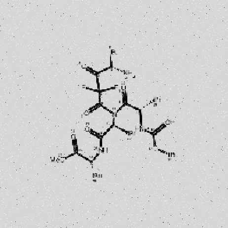 CC[C@H](C)[C@H](N)C(=O)C(F)(F)C(=O)N(C(=O)[C@@H](NC(=O)OC(C)(C)C)C(C)C)[C@H](C(=O)N[C@H](C(=O)OC)[C@@H](C)CC)C(C)C